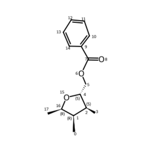 C[C@@H]1[C@H](C)[C@@H](COC(=O)c2ccccc2)O[C@@H]1C